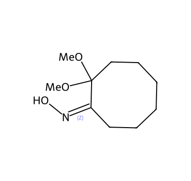 COC1(OC)CCCCCC/C1=N/O